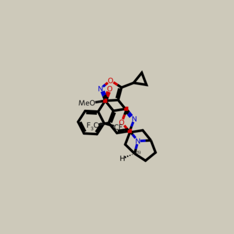 COC(=O)c1cnc(N2C3CC[C@H]2CC(OCc2c(-c4ccccc4C(F)(F)F)noc2C2CC2)C3)cc1C(F)(F)F